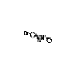 Brc1ccc(N2CN(Cc3ccccc3)C=N2)cc1